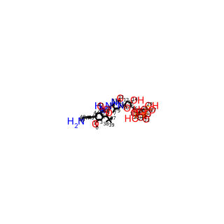 COc1cc(C(OCc2cn([C@H]3C[C@H](O)[C@@H](COP(=O)(O)OP(=O)(O)OP(=O)(O)O)O3)c(=O)nc2N)C(C)(C)C)c([N+](=O)[O-])cc1C#CCN